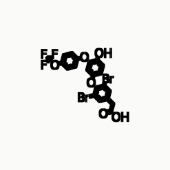 O=C(O)Cc1cc(Br)c(Oc2ccc(O)c(Oc3ccc(OC(F)(F)F)cc3)c2)c(Br)c1